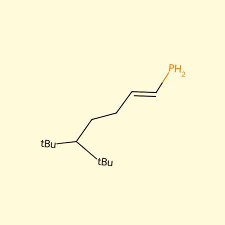 CC(C)(C)C(CCC=CP)C(C)(C)C